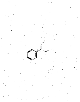 BN[C@@H](CO)c1ccccc1